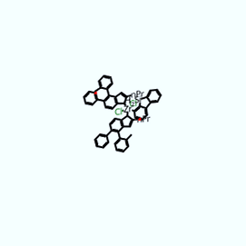 CCCC1=Cc2c(ccc(-c3ccccc3)c2-c2ccccc2C)[CH]1[Zr]([Cl])([Cl])([c]1cccc2c1[SiH2]c1ccccc1-2)[CH]1C(CCC)=Cc2c1ccc(-c1ccccc1)c2-c1ccccc1C